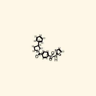 O=C(c1ccc(S(=O)(=O)Nc2nccs2)cc1)N1CCC(c2ccccc2)C1